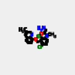 Cc1cnc2c(OCc3c(Cl)ccc(N(C)C(=O)CN)c3Cl)cccc2c1